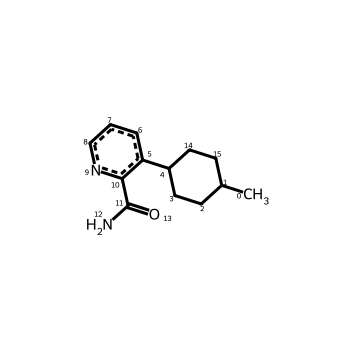 CC1CCC(c2cccnc2C(N)=O)CC1